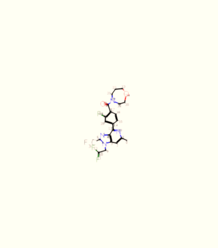 Cc1cc2c(nc(C(F)(F)F)n2CC(F)F)c(-c2ccc(C(=O)N3CCCOCC3)c(F)c2)n1